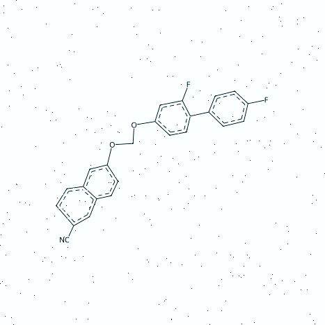 N#Cc1ccc2cc(OCOc3ccc(-c4ccc(F)cc4)c(F)c3)ccc2c1